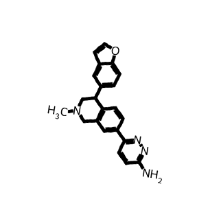 CN1Cc2cc(-c3ccc(N)nn3)ccc2C(c2ccc3occc3c2)C1